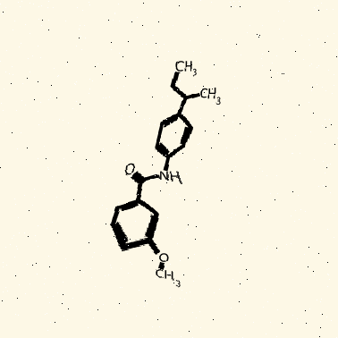 CCC(C)c1ccc(NC(=O)c2cccc(OC)c2)cc1